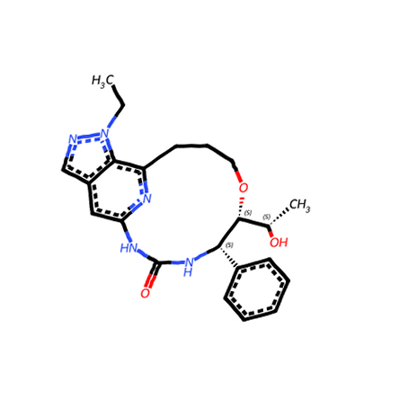 CCn1ncc2cc3nc(c21)CCCO[C@H]([C@H](C)O)[C@H](c1ccccc1)NC(=O)N3